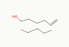 C=CCCCCO.CCCCC